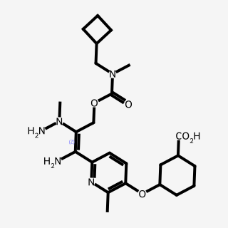 Cc1nc(/C(N)=C(\COC(=O)N(C)CC2CCC2)N(C)N)ccc1OC1CCCC(C(=O)O)C1